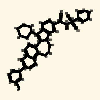 Cc1ccnc(-c2ccc3c4c(ccc3n2)-c2c(C3CCCCC3)c3ccc(C(=O)NS(=O)(=O)c5ccccc5)cc3n2CCC4)c1